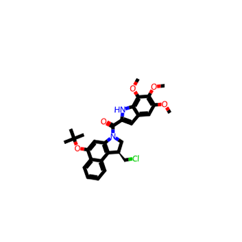 COc1cc2cc(C(=O)N3C[C@@H](CCl)c4c3cc(OC(C)(C)C)c3ccccc43)[nH]c2c(OC)c1OC